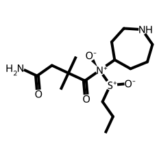 CCC[S+]([O-])[N@+]([O-])(C(=O)C(C)(C)CC(N)=O)C1CCCNCC1